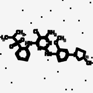 COc1cc(N2CC[C@@H](O)C2)ccc1Nc1nc(N)c(Cl)c(Nc2ccccc2S(=O)(=O)C(C)C)n1